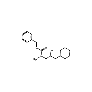 CN(CC(O)CC1CCCCC1)C(=O)OCc1ccccc1